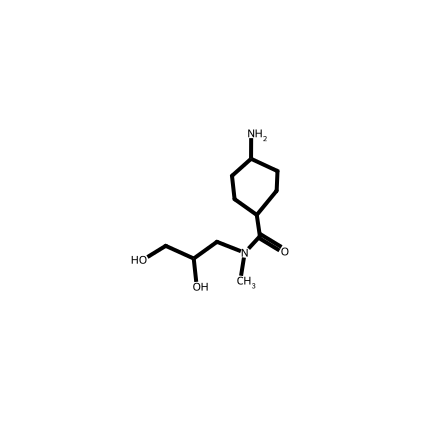 CN(CC(O)CO)C(=O)C1CCC(N)CC1